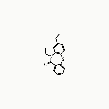 CCc1ccc2c(c1)N(CC)C(=O)c1ccccc1S2